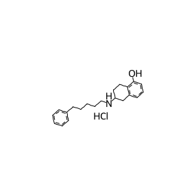 Cl.Oc1cccc2c1CCC(NCCCCCc1ccccc1)C2